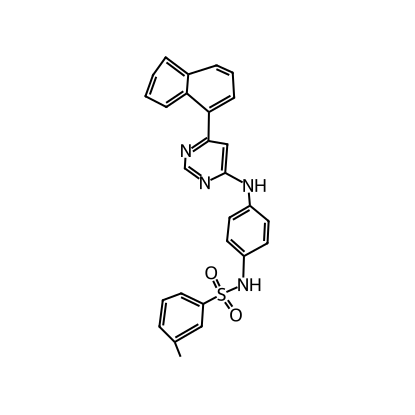 Cc1cccc(S(=O)(=O)Nc2ccc(Nc3cc(-c4cccc5ccccc45)ncn3)cc2)c1